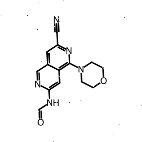 N#Cc1cc2cnc(NC=O)cc2c(N2CCOCC2)n1